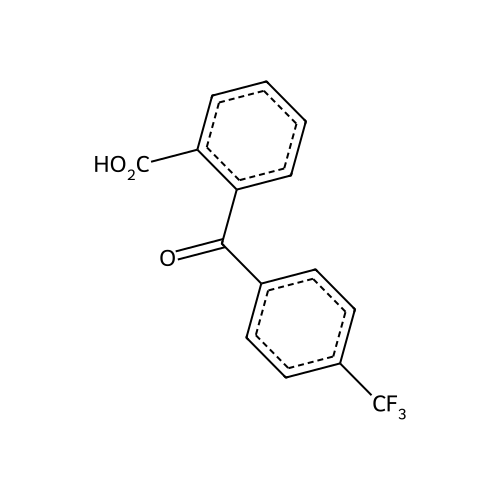 O=C(O)c1ccccc1C(=O)c1ccc(C(F)(F)F)cc1